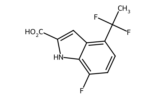 CC(F)(F)c1ccc(F)c2[nH]c(C(=O)O)cc12